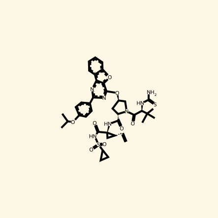 C=C[C@@H]1C[C@]1(NC(=O)[C@@H]1C[C@@H](Oc2nc(-c3ccc(OC(C)C)cc3)nc3c2oc2ccccc23)CN1C(=O)[C@@H](NC(N)=S)C(C)(C)C)C(=O)NS(=O)(=O)C1CC1